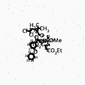 CC1(C)C(C=C(Cl)Cl)C1C(=O)O[C@H](C#N)c1cccc(Oc2ccccc2)c1.CCOC(=O)CC(SP(=S)(OC)OC)C(=O)OCC